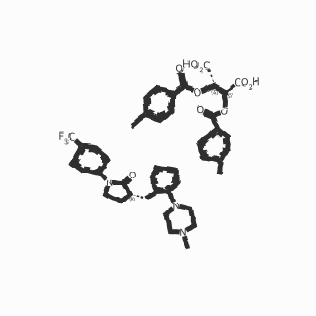 CN1CCN(c2ccccc2C[C@@H]2CCN(c3ccc(C(F)(F)F)cc3)C2=O)CC1.Cc1ccc(C(=O)O[C@H](C(=O)O)[C@H](OC(=O)c2ccc(C)cc2)C(=O)O)cc1